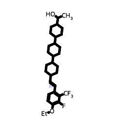 CCOc1ccc(/C=C/C2CCC(C3CCC(C4CCC(C(C)O)CC4)CC3)CC2)c(C(F)(F)F)c1F